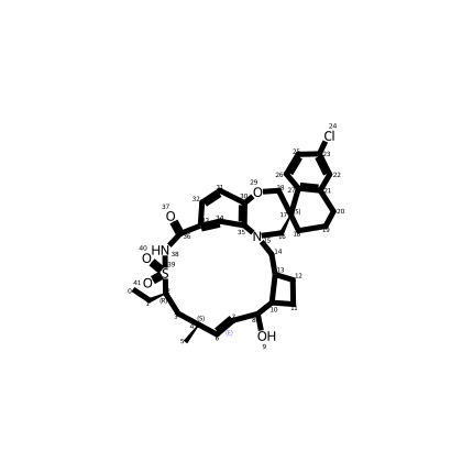 CC[C@@H]1C[C@H](C)/C=C/C(O)C2CCC2CN2C[C@@]3(CCCc4cc(Cl)ccc43)COc3ccc(cc32)C(=O)NS1(=O)=O